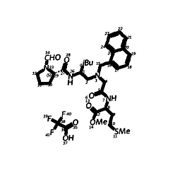 CCC(C)C(CN(CC(=O)NC(CCSC)C(=O)OC)Cc1cccc2ccccc12)NC(=O)[C@@H]1CCCN1C=O.O=C(O)C(F)(F)F